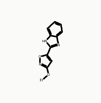 CCOc1cc(-c2nc3ccccc3[nH]2)on1